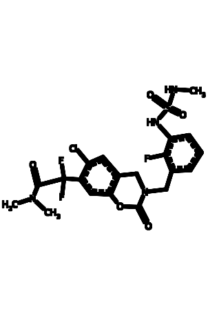 CNS(=O)(=O)Nc1cccc(CN2Cc3cc(Cl)c(C(F)(F)C(=O)N(C)C)cc3OC2=O)c1F